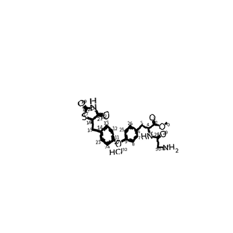 COC(=O)C(Cc1ccc(Oc2ccc(CC3SC(=O)NC3=O)cc2)cc1)NC(=O)CN.Cl